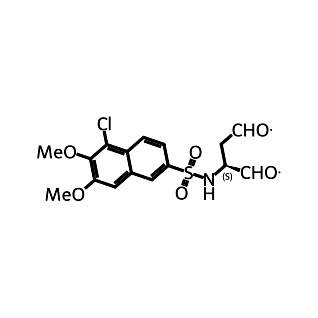 COc1cc2cc(S(=O)(=O)N[C@H]([C]=O)C[C]=O)ccc2c(Cl)c1OC